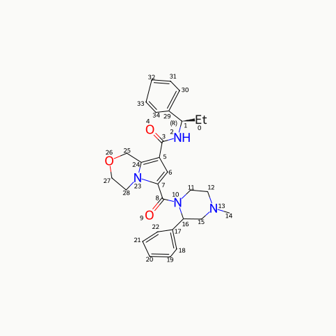 CC[C@@H](NC(=O)c1cc(C(=O)N2CCN(C)CC2c2ccccc2)n2c1COCC2)c1ccccc1